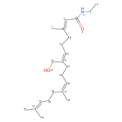 CCNC(=O)C=C(C)CCC=C(CO)CCC=C(C)CCC=C(C)C